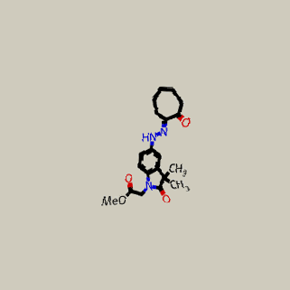 COC(=O)CN1C(=O)C(C)(C)c2cc(N/N=C3\CCCCCC3=O)ccc21